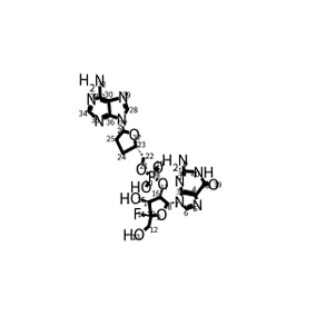 Nc1nc2c(ncn2[C@@H]2O[C@](F)(CO)[C@@H](O)[C@H]2OP(=O)(O)OC[C@@H]2CC[C@H](n3cnc4c(N)ncnc43)O2)c(=O)[nH]1